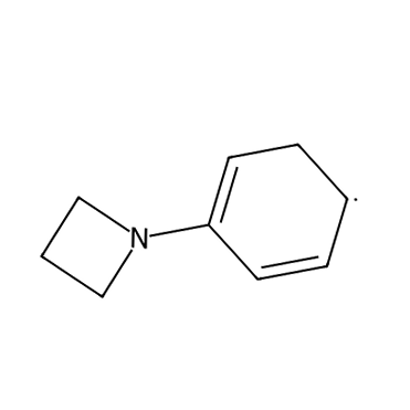 [CH]1C=CC(N2CCC2)=CC1